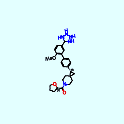 COc1ccc(C2NNNN2)cc1-c1ccc([C@@H]2CC23CCN(C(=O)[C@H]2CCCO2)CC3)cc1